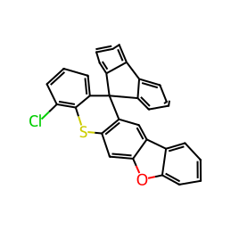 Clc1cccc2c1Sc1cc3oc4ccccc4c3cc1C21c2ccccc2-c2ccccc21